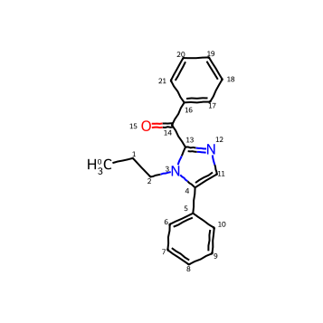 CCCn1c(-c2ccccc2)cnc1C(=O)c1ccccc1